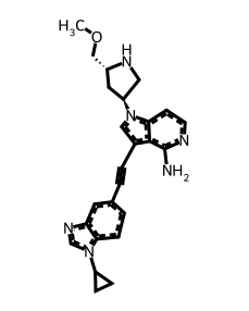 COC[C@H]1C[C@H](n2cc(C#Cc3ccc4c(c3)ncn4C3CC3)c3c(N)nccc32)CN1